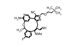 CN/C1=C(\C=N)Cc2nn(COCC[Si](C)(C)C)c(C#N)c2-c2cnc(N)c(c2)OC(C)c2cc(F)ccc21